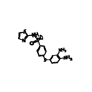 Nc1ccc(Sc2ccc(S(=O)(=O)Nc3nccs3)cc2)cc1N